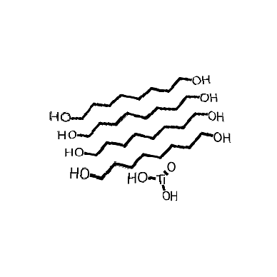 OCCCCCCCCO.OCCCCCCCCO.OCCCCCCCCO.OCCCCCCCCO.[O]=[Ti]([OH])[OH]